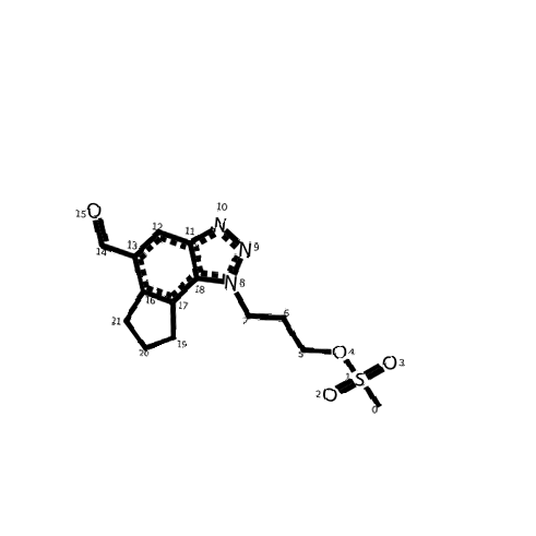 CS(=O)(=O)OCCCn1nnc2cc(C=O)c3c(c21)CCC3